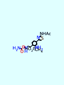 C.CC(=O)Nc1nc(-c2ccc(CCNOC(N)=O)cc2)cs1.NC(=O)O